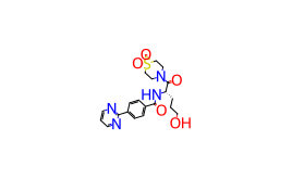 O=C(N[C@@H](CCCO)C(=O)N1CCS(=O)(=O)CC1)c1ccc(-c2ncccn2)cc1